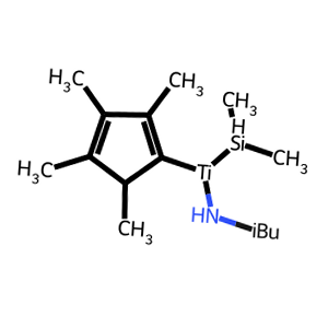 CCC(C)[NH][Ti]([C]1=C(C)C(C)=C(C)C1C)[SiH](C)C